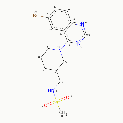 CS(=O)(=O)NCC1CCCN(c2ncnc3ccc(Br)cc23)C1